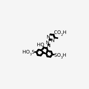 Cc1nc(/N=N/c2c(O)c3cc(S(=O)(=O)O)ccc3c3ccc(S(=O)(=O)O)cc23)ncc1C(=O)O